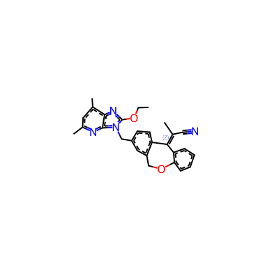 CCOc1nc2c(C)cc(C)nc2n1Cc1ccc2c(c1)COc1ccccc1/C2=C(/C)C#N